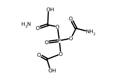 N.NC(=O)OP(=O)(OC(=O)O)OC(=O)O